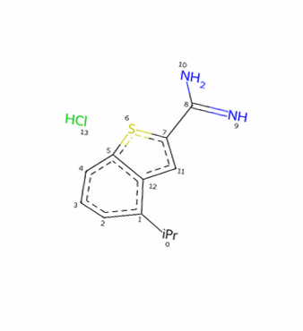 CC(C)c1cccc2sc(C(=N)N)cc12.Cl